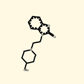 CCCCC1CCN(CCn2c(=O)oc3ccccc32)CC1